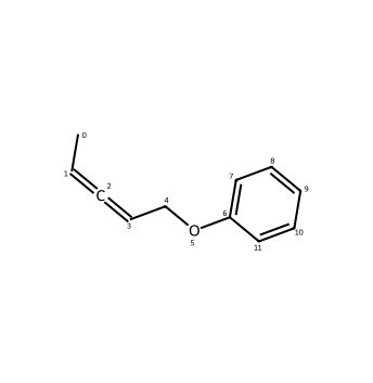 CC=C=CCOc1ccccc1